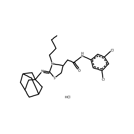 CCCCN1C(=NC23CC4CC(CC(C4)C2)C3)SCC1CC(=O)Nc1cc(Cl)cc(Cl)c1.Cl